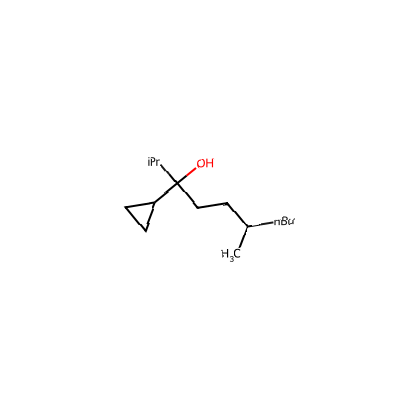 CCCCC(C)CCC(O)(C(C)C)C1CC1